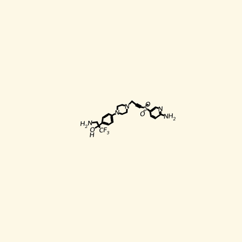 NCC(O)(c1ccc(N2CCN(CC#CS(=O)(=O)c3ccc(N)nc3)CC2)cc1)C(F)(F)F